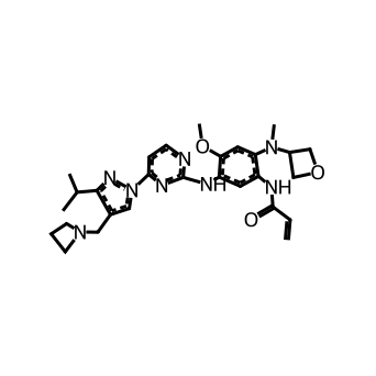 C=CC(=O)Nc1cc(Nc2nccc(-n3cc(CN4CCC4)c(C(C)C)n3)n2)c(OC)cc1N(C)C1COC1